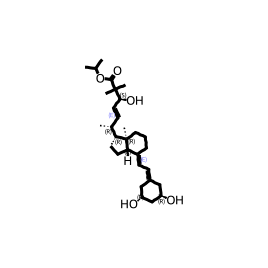 CC(C)OC(=O)C(C)(C)[C@@H](O)/C=C/[C@@H](C)[C@H]1CC[C@H]2/C(=C/C=C3C[C@@H](O)C[C@H](O)C3)CCC[C@]12C